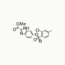 COC(=O)c1nc2ccc(OS(=O)(=O)c3ccc(C)cc3Cl)cc2[nH]1